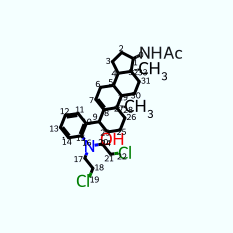 CC(=O)NC1CCC2C3CC=C4C(c5ccc[c]c5N(CCCl)CCCl)C(O)CC[C@]4(C)C3CC[C@]12C